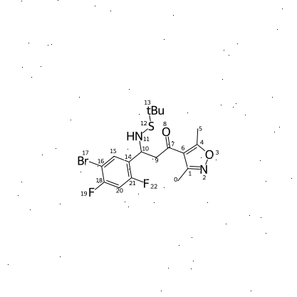 Cc1noc(C)c1C(=O)CC(NSC(C)(C)C)c1cc(Br)c(F)cc1F